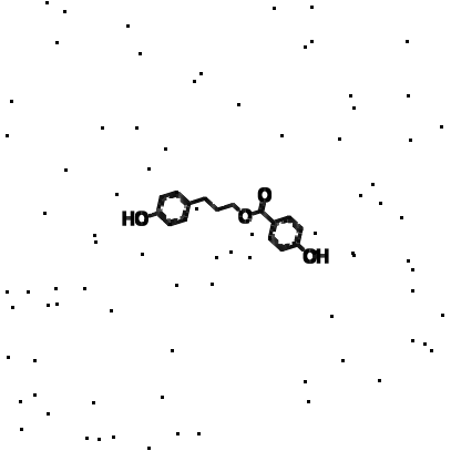 O=C(OCCCc1ccc(O)cc1)c1ccc(O)cc1